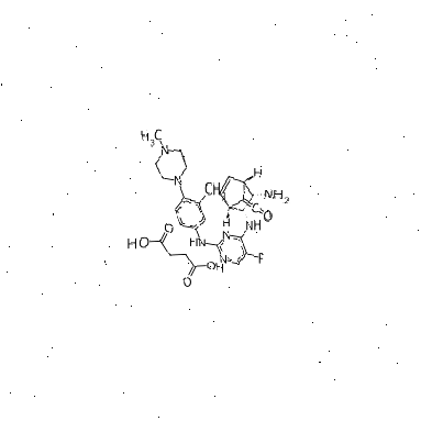 Cc1cc(Nc2ncc(F)c(N[C@H]3[C@@H](N)[C@H]4C=C[C@@H]3C4=C=O)n2)ccc1N1CCN(C)CC1.O=C(O)CCC(=O)O